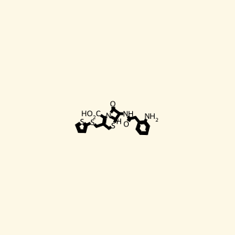 Nc1ccccc1CC(=O)NC1C(=O)N2C(C(=O)O)=C(CSc3cccs3)CS[C@@H]12